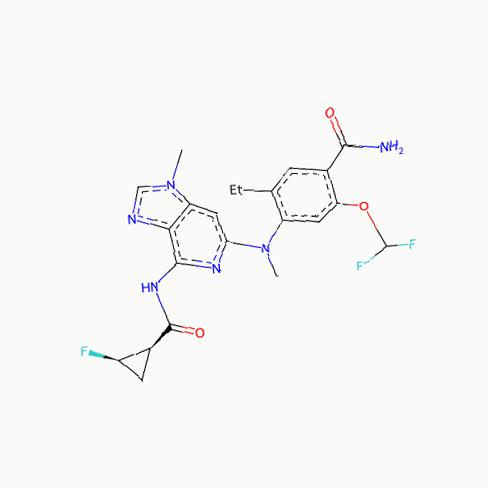 CCc1cc(C(N)=O)c(OC(F)F)cc1N(C)c1cc2c(ncn2C)c(NC(=O)[C@H]2C[C@H]2F)n1